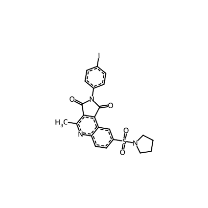 Cc1nc2ccc(S(=O)(=O)N3CCCC3)cc2c2c1C(=O)N(c1ccc(I)cc1)C2=O